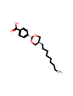 CCCCCCCCC[C@H]1CO[C@H](c2ccc(C(=O)O)cc2)OC1